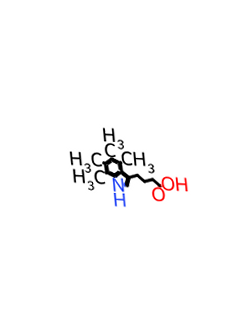 Cc1c(C)c(C)c2c(CCCC(=O)O)c[nH]c2c1C